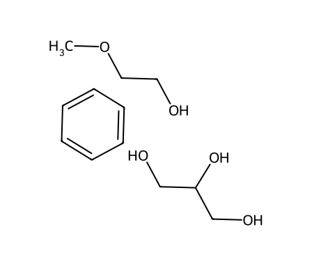 COCCO.OCC(O)CO.c1ccccc1